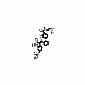 CNCCN(C)C(=O)c1cccc(N/C(=C2\C(=O)Nc3cc(OC(=O)OC)ccc32)c2ccccc2)c1